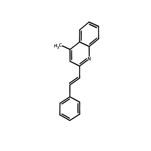 Cc1cc(C=Cc2ccccc2)nc2ccccc12